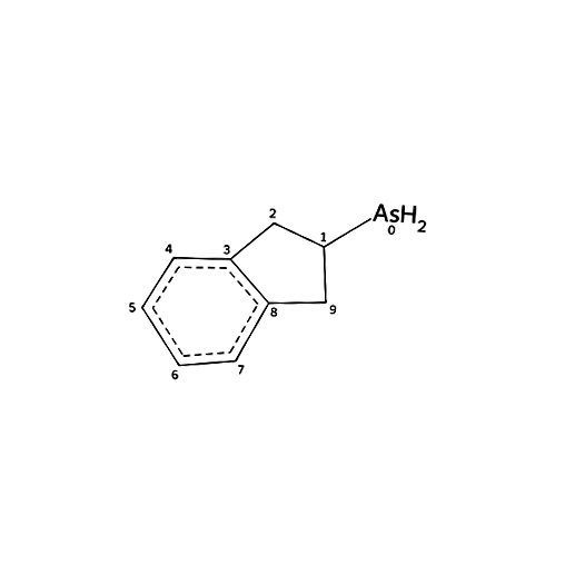 [AsH2]C1Cc2ccccc2C1